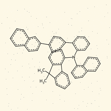 CC1(C)c2ccccc2-c2c(N(c3ccccc3-c3ccc(-c4ccc5ccccc5c4)cc3)c3cccc4ccccc34)cccc21